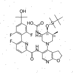 C[C@H]1CN(c2c(NC(=O)c3ccc(F)c(-c4c(F)cc(C(C)(C)O)cc4F)n3)cnc3c2CCO3)C[C@@H](NC(=O)O)[C@H]1O[Si](C)(C)C(C)(C)C